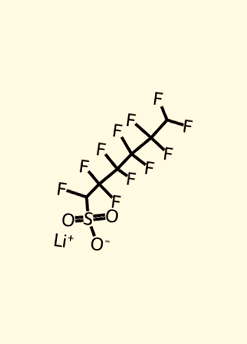 O=S(=O)([O-])C(F)C(F)(F)C(F)(F)C(F)(F)C(F)(F)C(F)F.[Li+]